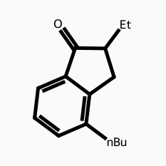 CCCCc1cccc2c1CC(CC)C2=O